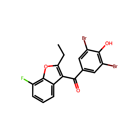 CCc1oc2c(F)cccc2c1C(=O)c1cc(Br)c(O)c(Br)c1